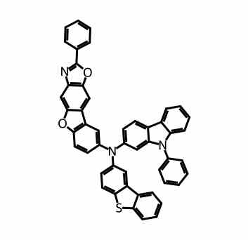 c1ccc(-c2nc3cc4oc5ccc(N(c6ccc7sc8ccccc8c7c6)c6ccc7c8ccccc8n(-c8ccccc8)c7c6)cc5c4cc3o2)cc1